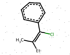 C[C]C(C)=C(Cl)c1ccccc1